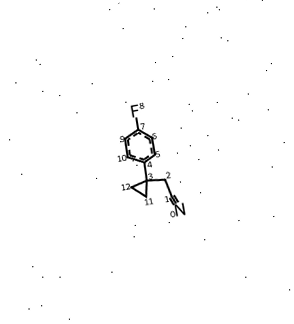 N#CCC1(c2ccc(F)cc2)CC1